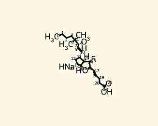 CCCCC(C)(C)[C@H](O)/C=C/[C@H]1CC[C@@H]2OC(/C=C/CCC(=O)O)C(F)[C@@H]21.[NaH]